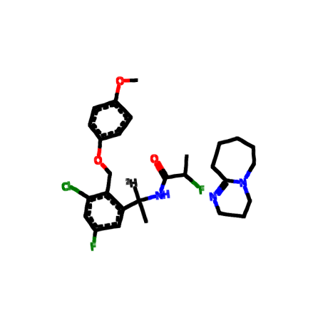 C1CCC2=NCCCN2CC1.[2H]C(C)(NC(=O)C(C)F)c1cc(F)cc(Cl)c1COc1ccc(OC)cc1